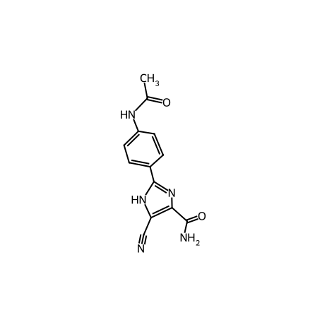 CC(=O)Nc1ccc(-c2nc(C(N)=O)c(C#N)[nH]2)cc1